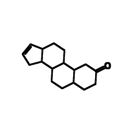 O=C1CCC2CCC3C4CC=CC4CCC3C2C1